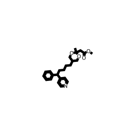 COC(=O)CC1(C)OCC(CCCCC(c2ccccc2)c2ccncc2)CO1